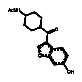 CC(=O)NC1CCN(C(=O)c2coc3cc(O)ccc23)CC1